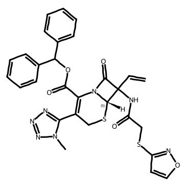 C=CC1(NC(=O)CSc2ccon2)C(=O)N2C(C(=O)OC(c3ccccc3)c3ccccc3)=C(c3nnnn3C)CS[C@H]21